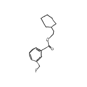 O=C(OCC1CCCCC1)c1cccc(CF)c1